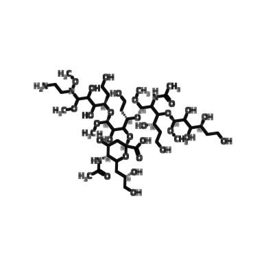 COC(C(O)C(O)[C@@H](CCO)O[C@H](OC)C(O)C(O[C@]1(C(=O)O)CC(O)[C@@H](NC(C)=O)C(C[C@H](O)CO)O1)[C@H](CCO)O[C@H](OC)C(NC(C)=O)C(O[C@H](OC)C(O)C(O)[C@@H](O)CCO)[C@@H](O)CCO)N(CCN)OC